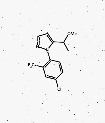 COC(C)c1[c]cnn1-c1ccc(Cl)cc1C(F)(F)F